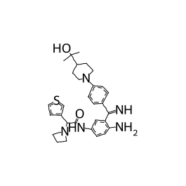 CC(C)(O)C1CCN(c2ccc(C(=N)c3cc(NC(=O)C(c4ccsc4)N4CCC4)ccc3N)cc2)CC1